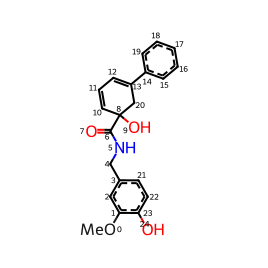 COc1cc(CNC(=O)C2(O)C=CC=C(c3ccccc3)C2)ccc1O